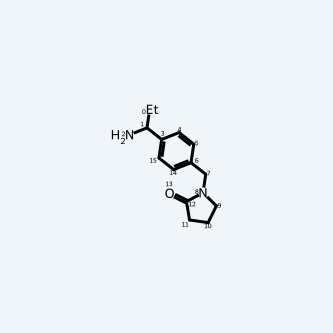 CCC(N)c1ccc(CN2CCCC2=O)cc1